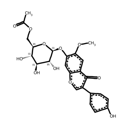 COc1cc2c(=O)c(-c3ccc(O)cc3)coc2cc1O[C@@H]1O[C@H](COC(C)=O)[C@@H](O)[C@H](O)[C@H]1O